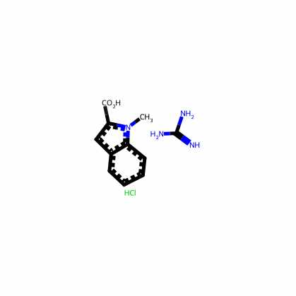 Cl.Cn1c(C(=O)O)cc2ccccc21.N=C(N)N